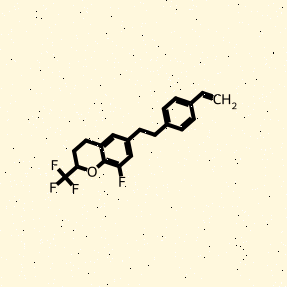 C=Cc1ccc(CCc2cc(F)c3c(c2)CCC(C(F)(F)F)O3)cc1